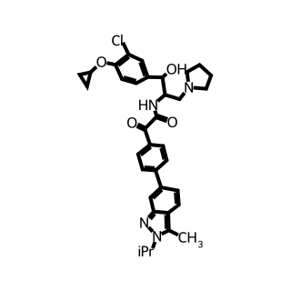 Cc1c2ccc(-c3ccc(C(=O)C(=O)NC(CN4CCCC4)C(O)c4ccc(OC5CC5)c(Cl)c4)cc3)cc2nn1C(C)C